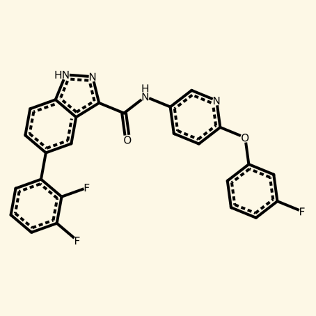 O=C(Nc1ccc(Oc2cccc(F)c2)nc1)c1n[nH]c2ccc(-c3cccc(F)c3F)cc12